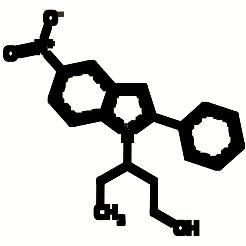 CCC(CCO)n1c(-c2ccccc2)cc2cc([N+](=O)[O-])ccc21